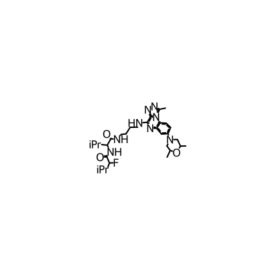 Cc1nnc2c(NCCCCNC(=O)C(NC(=O)C(F)C(C)C)C(C)C)nc3cc(N4CC(C)OC(C)C4)ccc3n12